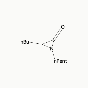 CCCCCN1C(=O)C1CCCC